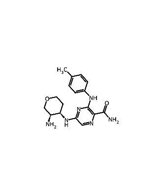 Cc1ccc(Nc2nc(N[C@@H]3CCOC[C@@H]3N)cnc2C(N)=O)cc1